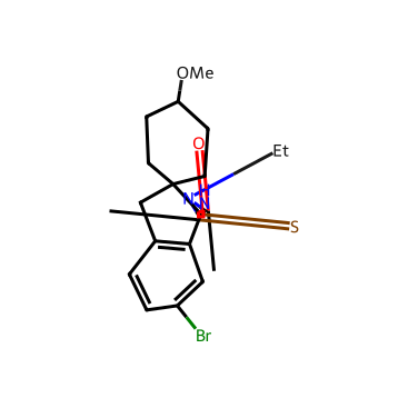 CCN1C(=O)C2(NC1=S)c1cc(Br)ccc1CC21CCC(OC)CC1